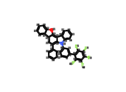 Fc1c(F)c(F)c(-c2cccc(-n3c4ccccc4c4c5oc6ccccc6c5cc(-c5ccccc5)c43)c2)c(F)c1F